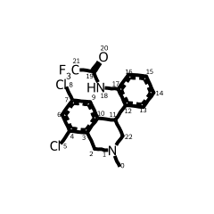 CN1Cc2c(Cl)cc(Cl)cc2C(c2ccccc2NC(=O)C(F)(F)F)C1